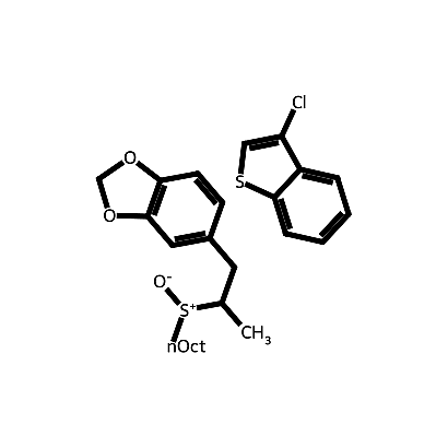 CCCCCCCC[S+]([O-])C(C)Cc1ccc2c(c1)OCO2.Clc1csc2ccccc12